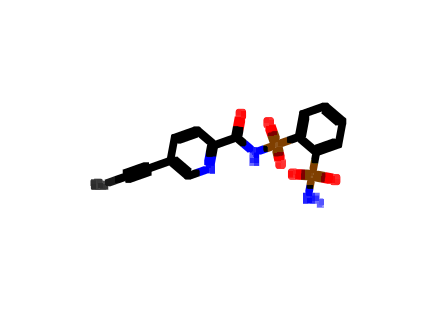 CC(C)(C)C#Cc1ccc(C(=O)NS(=O)(=O)c2ccccc2S(N)(=O)=O)nc1